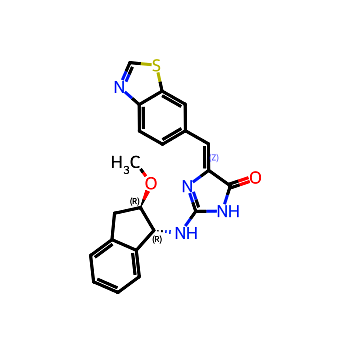 CO[C@@H]1Cc2ccccc2[C@H]1NC1=N/C(=C\c2ccc3ncsc3c2)C(=O)N1